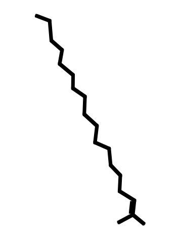 CCCCCCCCCCCCCCCC=C(C)C